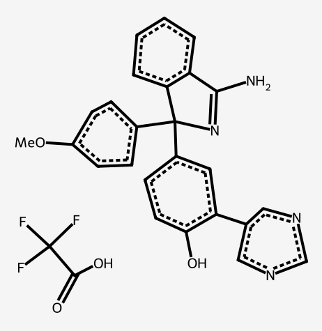 COc1ccc(C2(c3ccc(O)c(-c4cncnc4)c3)N=C(N)c3ccccc32)cc1.O=C(O)C(F)(F)F